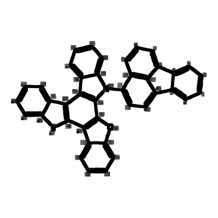 c1ccc2c(c1)-c1cccc3c(-n4c5ccccc5c5c6c7ccccc7sc6c6c7ccccc7oc6c54)ccc-2c13